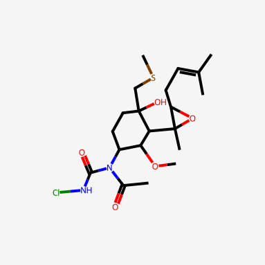 COC1C(N(C(C)=O)C(=O)NCl)CCC(O)(CSC)C1C1(C)OC1CC=C(C)C